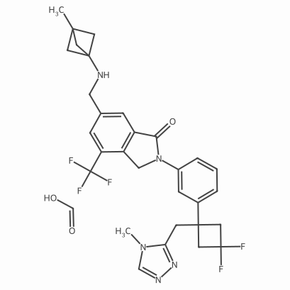 Cn1cnnc1CC1(c2cccc(N3Cc4c(cc(CNC56CC(C)(C5)C6)cc4C(F)(F)F)C3=O)c2)CC(F)(F)C1.O=CO